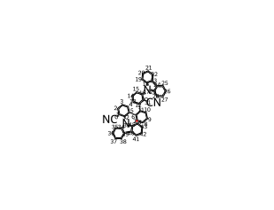 N#Cc1cccc(-c2ccccc2-c2cccc(-n3c4ccccc4c4ccccc43)c2C#N)c1-n1c2ccccc2c2ccccc21